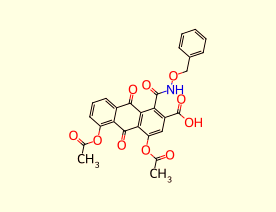 CC(=O)Oc1cccc2c1C(=O)c1c(OC(C)=O)cc(C(=O)O)c(C(=O)NOCc3ccccc3)c1C2=O